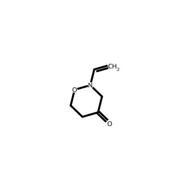 C=CN1CC(=O)CCO1